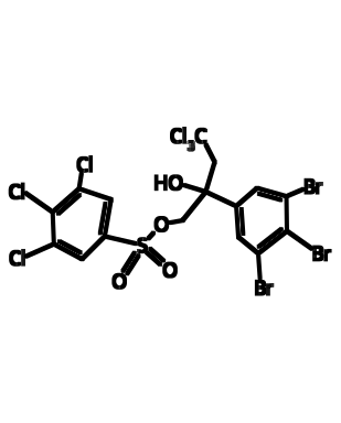 O=S(=O)(OCC(O)(CC(Cl)(Cl)Cl)c1cc(Br)c(Br)c(Br)c1)c1cc(Cl)c(Cl)c(Cl)c1